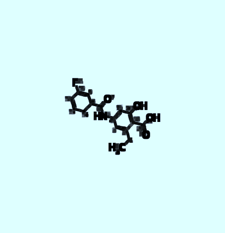 CCc1cc(NC(=O)C2C=C(F)C=CC2)cc(O)c1C(=O)O